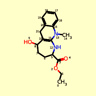 CCOC(=O)C1CCC(O)C2=C(N1)N(C)c1ccccc1C2